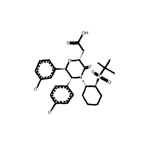 CC(C)(C)S(=O)(=O)[C@H]1CCCC[C@@H]1N1C(=O)[C@@H](CC(=O)O)O[C@H](c2cccc(Cl)c2)[C@H]1c1ccc(Cl)cc1